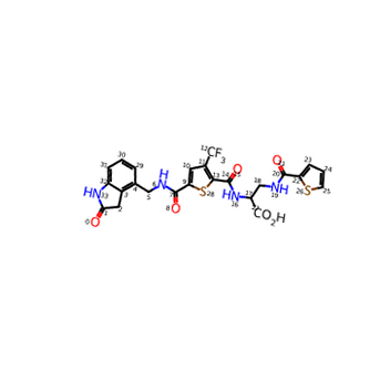 O=C1Cc2c(CNC(=O)c3cc(C(F)(F)F)c(C(=O)NC(CNC(=O)c4cccs4)C(=O)O)s3)cccc2N1